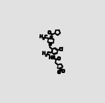 Cc1c(CN2CCN(C(=O)C3CCCC3)C(C)C2)cc(Cl)cc1NC(=O)CC1CCS(=O)(=O)C1